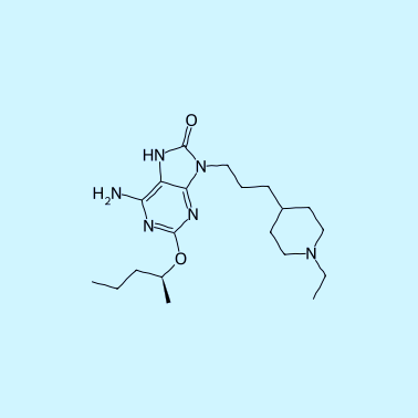 CCC[C@H](C)Oc1nc(N)c2[nH]c(=O)n(CCCC3CCN(CC)CC3)c2n1